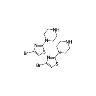 Brc1csc(N2CCNCC2)n1.Brc1csc(N2CCNCC2)n1